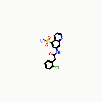 NS(=O)(=O)c1cc(NC(=O)Cc2ccccc2Cl)cc2ncccc12